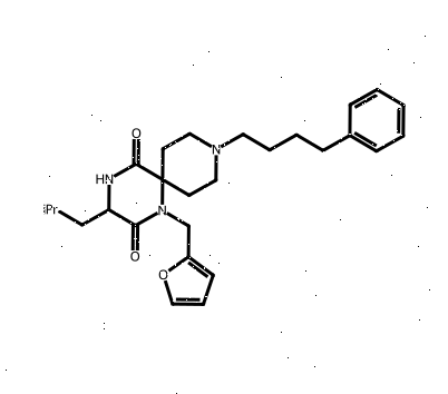 CC(C)CC1NC(=O)C2(CCN(CCCCc3ccccc3)CC2)N(Cc2ccco2)C1=O